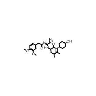 CCC(C)CC(NC(N)=NC(=O)Cc1ccc(OC)c(OC)c1)C(=O)N[C@H]1CC[C@H](O)CC1